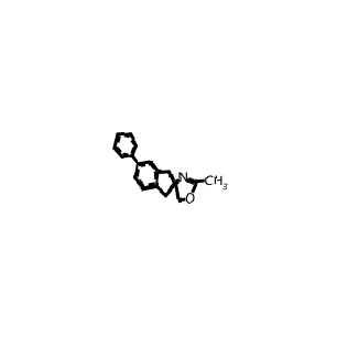 CC1=NC2(CO1)Cc1ccc(-c3ccccc3)cc1C2